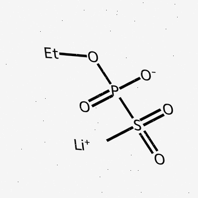 CCOP(=O)([O-])S(C)(=O)=O.[Li+]